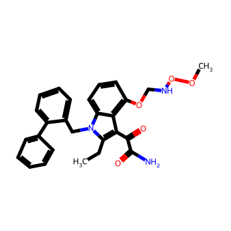 CCc1c(C(=O)C(N)=O)c2c(OCNOOC)cccc2n1Cc1ccccc1-c1ccccc1